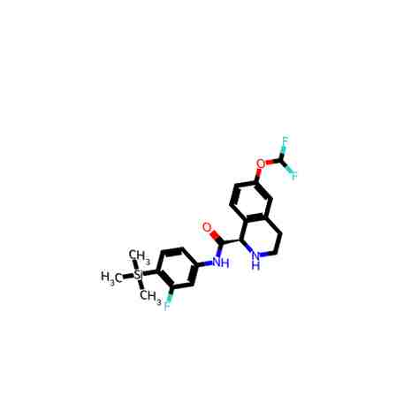 C[Si](C)(C)c1ccc(NC(=O)[C@@H]2NCCc3cc(OC(F)F)ccc32)cc1F